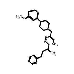 C/C=C(CN1CCC(c2cccc(SN)c2)CC1)\N=N/CC(C)CCc1ccccn1